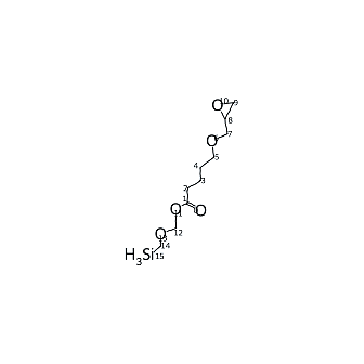 O=C(CCCCOCC1CO1)OCOC[SiH3]